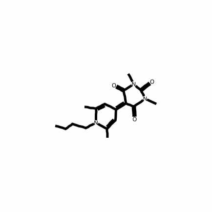 CCCCN1C(C)=CC(=C2C(=O)N(C)C(=O)N(C)C2=O)C=C1C